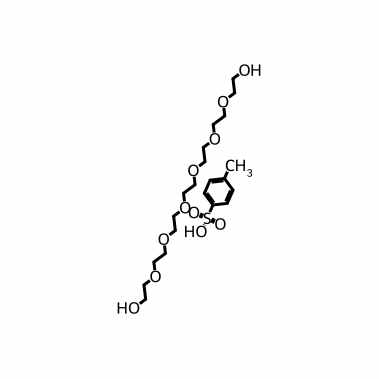 Cc1ccc(S(=O)(=O)O)cc1.OCCOCCOCCOCCOCCOCCOCCO